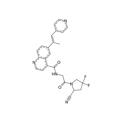 C/C(=C\c1ccncc1)c1ccc2nccc(C(=O)NCC(=O)N3CC(F)(F)CC3C#N)c2c1